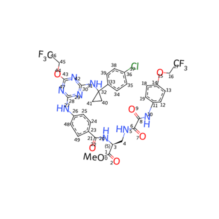 COC(=O)[C@H](CNC(=O)C(=O)Nc1ccc(OCC(F)(F)F)cc1)NC(=O)c1ccc(Nc2nc(NC3(c4ccc(Cl)cc4)CC3)nc(OCC(F)(F)F)n2)cc1